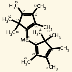 CC1=C(C)C(C)(C)[C]([Mo][C]2=C(C)C(C)=C(C)C2(C)C)=C1C